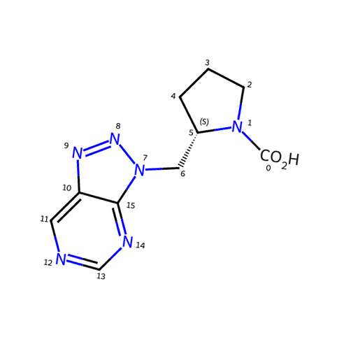 O=C(O)N1CCC[C@H]1Cn1nnc2cncnc21